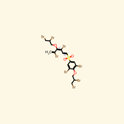 C=C(Br)/C(OCC(Br)CBr)=C(Br)\C=C\S(=O)(=O)c1cc(Br)c(OCC(Br)CBr)c(Br)c1